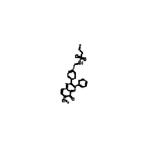 Cn1ccc2nc(-c3ccc(CNS(=O)(=O)CCF)cc3)c(-c3ccccc3)cc2c1=O